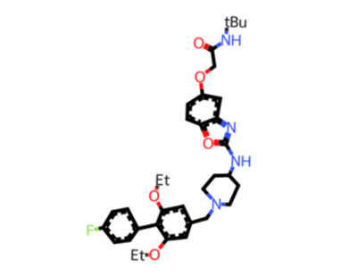 CCOc1cc(CN2CCC(Nc3nc4cc(OCC(=O)NC(C)(C)C)ccc4o3)CC2)cc(OCC)c1-c1ccc(F)cc1